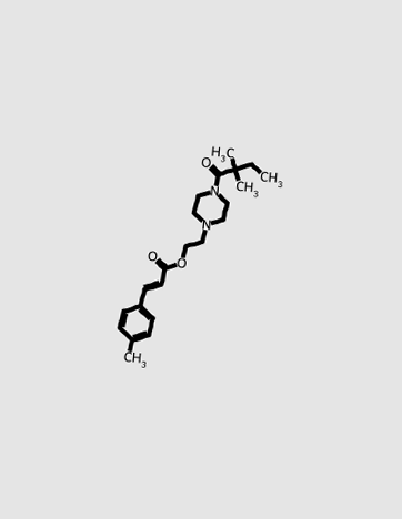 CCC(C)(C)C(=O)N1CCN(CCOC(=O)/C=C/c2ccc(C)cc2)CC1